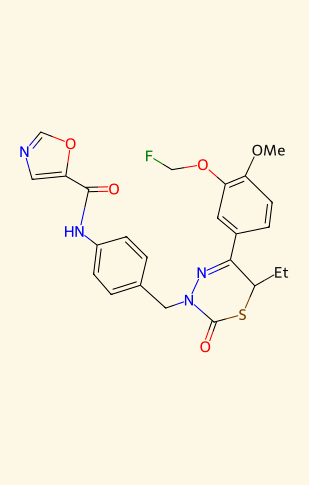 CCC1SC(=O)N(Cc2ccc(NC(=O)c3cnco3)cc2)N=C1c1ccc(OC)c(OCF)c1